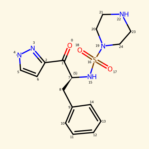 O=C(C1=N[N]C=C1)[C@H](Cc1ccccc1)NS(=O)(=O)N1CCNCC1